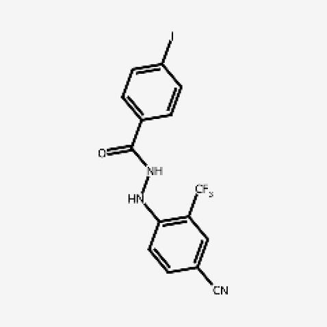 N#Cc1ccc(NNC(=O)c2ccc(I)cc2)c(C(F)(F)F)c1